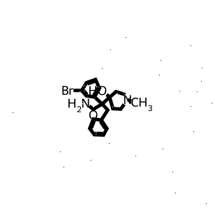 CN1CCC(O)(C(Cc2ccccc2)(C(N)=O)c2cccc(Br)c2)CC1